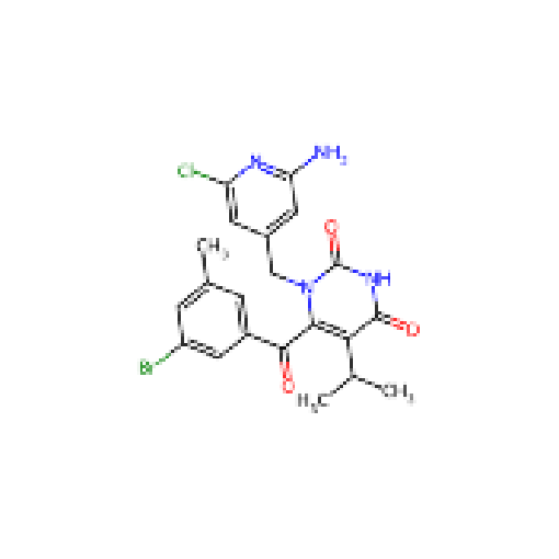 Cc1cc(Br)cc(C(=O)c2c(C(C)C)c(=O)[nH]c(=O)n2Cc2cc(N)nc(Cl)c2)c1